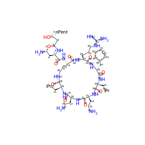 CCCCC[C@@H](O)CC(=O)N[C@H](CCN)C(=O)N[C@H]1CCNC(=O)[C@H](CC(C)C)NC(=O)[C@H](CCN)NC(=O)[C@H](CCN)NC(=O)[C@H](CC(C)C)NC(=O)[C@@H](Cc2ccccc2)NC(=O)[C@H](CCCNC(=N)N)NC1=O